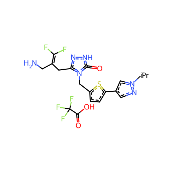 CC(C)n1cc(-c2ccc(Cn3c(CC(CN)=C(F)F)n[nH]c3=O)s2)cn1.O=C(O)C(F)(F)F